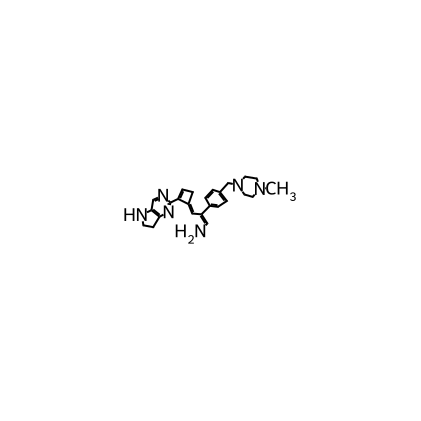 CN1CCN(Cc2ccc(C(/C=C3\CC=C3c3ncc4c(n3)CCN4)=C/N)cc2)CC1